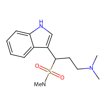 CNS(=O)(=O)C(CCN(C)C)c1c[nH]c2ccccc12